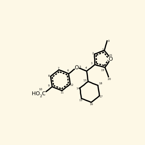 Cc1cc(C(Oc2ccc(C(=O)O)cc2)C2CCCCC2)c(C)o1